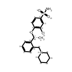 C[C@@H](Oc1ccc(S(N)(=O)=O)cc1Cl)c1ccccc1CN1CCCCC1